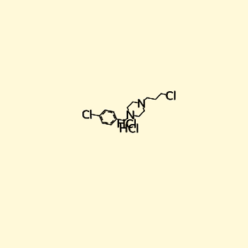 Cl.Cl.ClCCCN1CCN(Cc2ccc(Cl)cc2)CC1